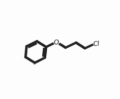 ClCCCOC1=C[CH]CC=C1